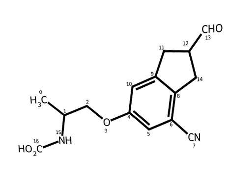 CC(COc1cc(C#N)c2c(c1)CC(C=O)C2)NC(=O)O